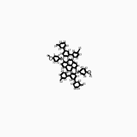 COc1ccc(N(c2cc(-c3cccc(C)c3)cc(-c3cccc(C)c3)c2)c2ccc3ccc4c(N(c5ccc(OC)cc5)c5cc(-c6cccc(C)c6)cc(-c6cccc(C)c6)c5)ccc5ccc2c3c54)cc1